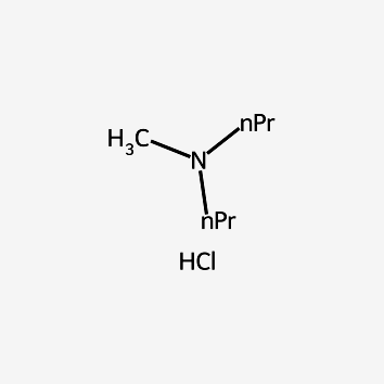 CCCN(C)CCC.Cl